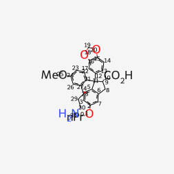 CCCOc1ccc2c(c1)CC(C(=O)O)C2(c1ccc2c(c1)OCO2)c1ccc(OC)cc1CCCN